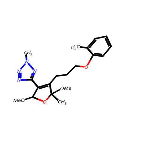 COC1OC(C)(OC)C(CCCOc2ccccc2C)=C1c1nnn(C)n1